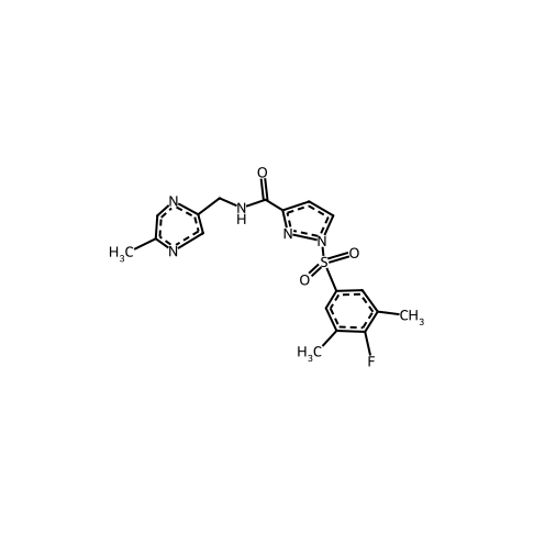 Cc1cnc(CNC(=O)c2ccn(S(=O)(=O)c3cc(C)c(F)c(C)c3)n2)cn1